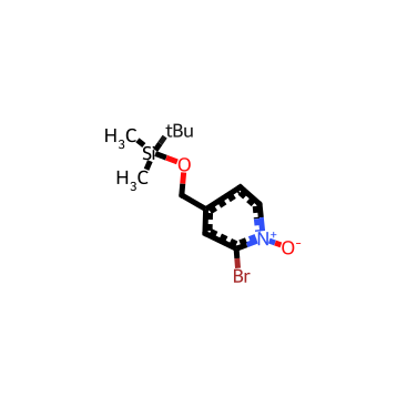 CC(C)(C)[Si](C)(C)OCc1cc[n+]([O-])c(Br)c1